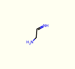 N=CCN